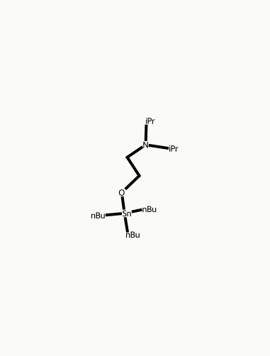 CCC[CH2][Sn]([CH2]CCC)([CH2]CCC)[O]CCN(C(C)C)C(C)C